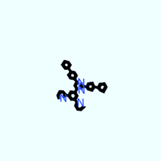 c1ccc(-c2ccc(-c3cc(-c4cc(-c5ccccn5)cc(-c5ccccn5)c4)nc(-c4ccc(-c5ccccc5)cc4)n3)cc2)cc1